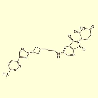 Cc1ccc(-c2cnn(C3CC(CCCNc4ccc5c(c4)C(=O)N(C4CCC(=O)NC4=O)C5=O)C3)c2)nc1